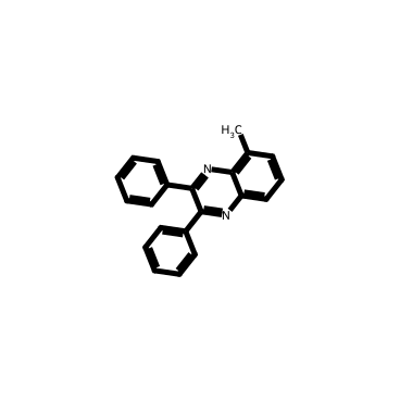 Cc1cccc2nc(-c3ccccc3)c(-c3ccccc3)nc12